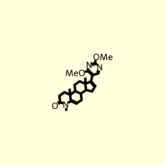 COc1ncc(C2=CCC3C4CC=C5N(C)C(=O)CCC5(C)C4CCC23C)c(OC)n1